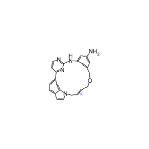 Nc1cc2cc(c1)Nc1nccc(n1)-c1ccc3ccn(c3c1)C/C=C/COC2